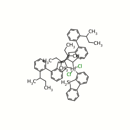 CCC(C)C1=Cc2c(-c3ccccc3C(C)CC)cccc2[CH]1[Hf]([Cl])([Cl])([c]1cccc2c1[SiH2]c1ccccc1-2)[CH]1C(C(C)CC)=Cc2c(-c3ccccc3C(C)CC)cccc21